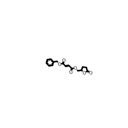 O=C(/C=C/C(=O)OCC1CCC(=O)O1)OCc1ccccc1